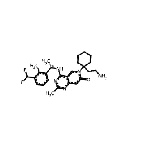 Cc1nc(N[C@@H](C)c2cccc(C(F)F)c2C)c2cn(C3(CCN)CCCCC3)c(=O)cc2n1